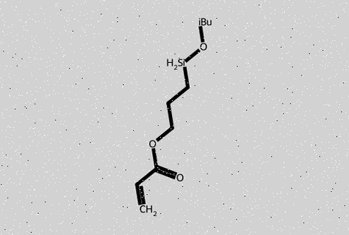 C=CC(=O)OCCC[SiH2]OC(C)CC